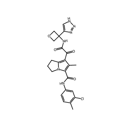 Cc1ccc(NC(=O)c2c(C)c(C(=O)C(=O)NC3(c4c[nH]nn4)COC3)c3n2CCC3)cc1Cl